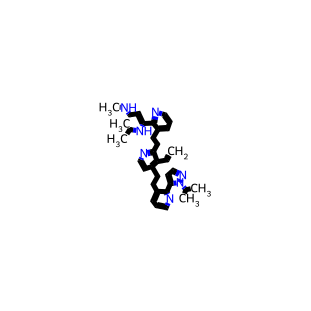 C=Cc1c(CCc2cccnc2-c2ccnn2C(C)C)ccnc1CCc1cccnc1/C(=C/CNC)NC(C)C